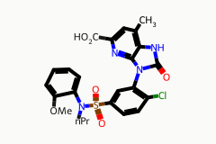 CCCN(c1ccccc1OC)S(=O)(=O)c1ccc(Cl)c(-n2c(=O)[nH]c3c(C)cc(C(=O)O)nc32)c1